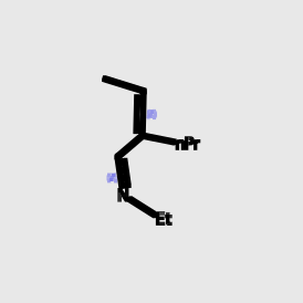 C/C=C(\C=N/CC)CCC